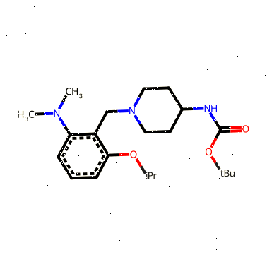 CC(C)Oc1cccc(N(C)C)c1CN1CCC(NC(=O)OC(C)(C)C)CC1